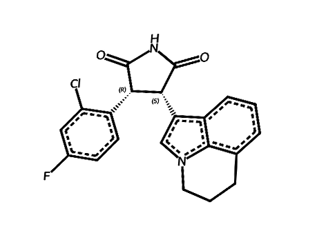 O=C1NC(=O)[C@@H](c2ccc(F)cc2Cl)[C@H]1c1cn2c3c(cccc13)CCC2